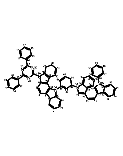 C1=CC2c3ccc4c(c5c(n4-c4nc(-c6ccccc6)nc(-c6ccccc6)n4)CCC=C5)c3N(C3=NC(n4cc(/C=C\c5cn(-c6ccccc6)c6ccccc56)c5ccccc54)CC=C3)C2C=C1